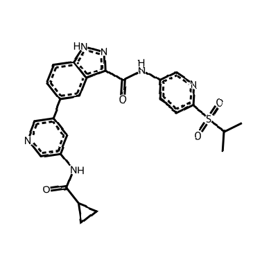 CC(C)S(=O)(=O)c1ccc(NC(=O)c2n[nH]c3ccc(-c4cncc(NC(=O)C5CC5)c4)cc23)cn1